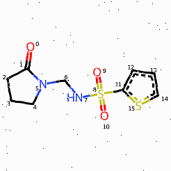 O=C1CCCN1[CH]NS(=O)(=O)c1cccs1